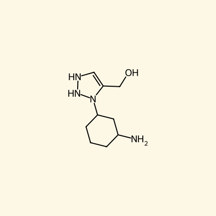 NC1CCCC(N2NNC=C2CO)C1